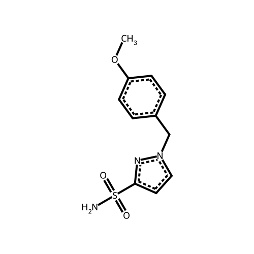 COc1ccc(Cn2ccc(S(N)(=O)=O)n2)cc1